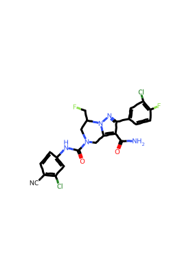 N#Cc1ccc(NC(=O)N2Cc3c(C(N)=O)c(-c4ccc(F)c(Cl)c4)nn3C(CF)C2)cc1Cl